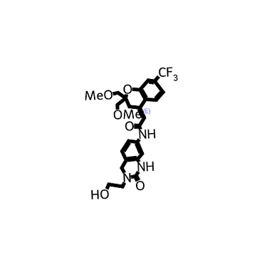 COCC1(COC)C/C(=C\C(=O)Nc2ccc3c(c2)NC(=O)N(CCO)C3)c2ccc(C(F)(F)F)cc2O1